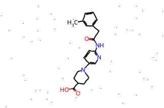 Cc1cccc(CC(=O)Nc2ccc(N3CCC(C(=O)O)CC3)cn2)c1